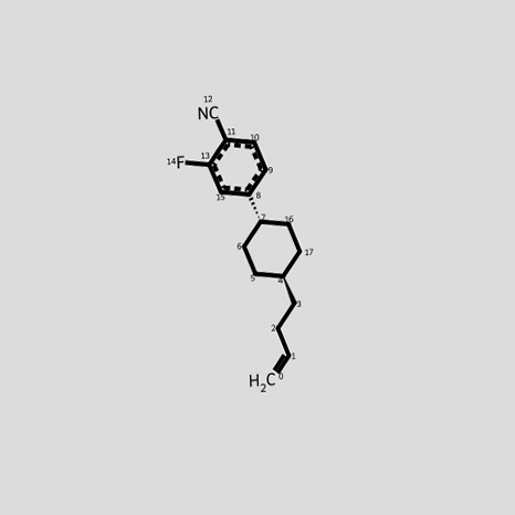 C=CCC[C@H]1CC[C@H](c2ccc(C#N)c(F)c2)CC1